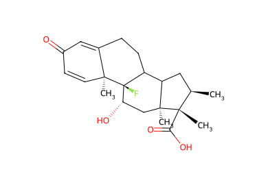 C[C@@H]1CC2C3CCC4=CC(=O)C=C[C@]4(C)[C@@]3(F)[C@@H](O)C[C@]2(C)[C@@]1(C)C(=O)O